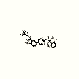 CC(=O)Nc1n[nH]c2ccc(-c3cnc(NC(C)(C)c4ncccc4Cl)nc3)cc12